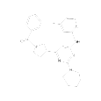 Cc1ccnc(Nc2cc(C3CCN(C(=O)c4ccccc4)C3)nc(N3CCCCC3)n2)c1